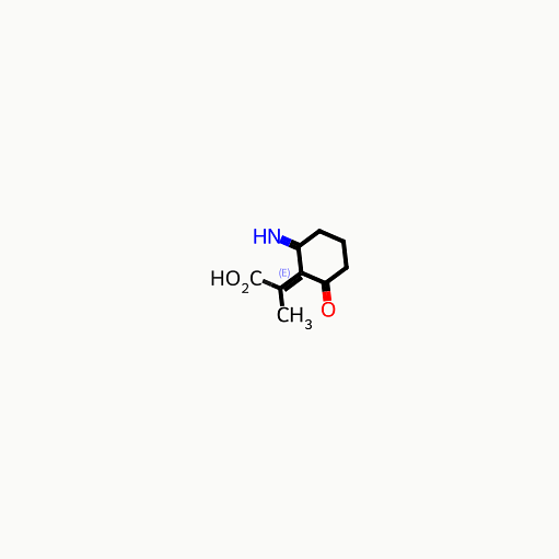 C/C(C(=O)O)=C1/C(=N)CCCC1=O